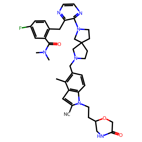 Cc1c(CN2CCC3(CCN(c4nccnc4Cc4ccc(F)cc4C(=O)N(C)C)C3)C2)ccc2c1cc(C#N)n2CCC1CNC(=O)CO1